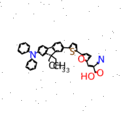 CCC1(CC)c2cc(-c3ccc(-c4ccc(/C=C(\C#N)C(=O)O)o4)s3)ccc2-c2ccc(N(c3ccccc3)c3ccccc3)cc21